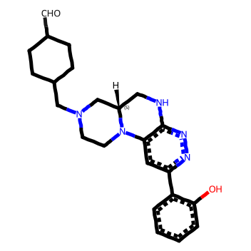 O=CC1CCC(CN2CCN3c4cc(-c5ccccc5O)nnc4NC[C@H]3C2)CC1